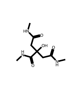 CNC(=O)CC(O)(CC(=O)NC)C(=O)NC